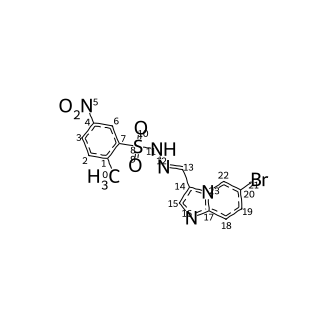 Cc1ccc([N+](=O)[O-])cc1S(=O)(=O)NN=Cc1cnc2ccc(Br)cn12